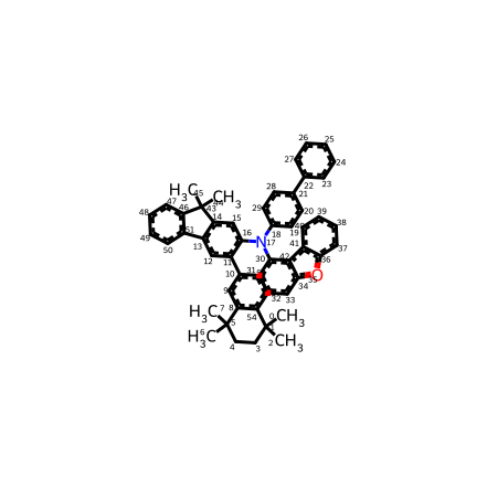 CC1(C)CCC(C)(C)c2cc(-c3cc4c(cc3N(c3ccc(-c5ccccc5)cc3)c3cccc5oc6ccccc6c35)C(C)(C)c3ccccc3-4)ccc21